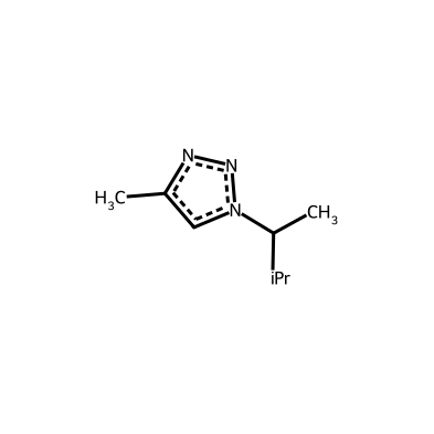 Cc1cn(C(C)C(C)C)nn1